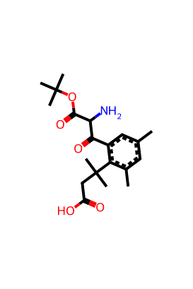 Cc1cc(C)c(C(C)(C)CC(=O)O)c(C(=O)C(N)C(=O)OC(C)(C)C)c1